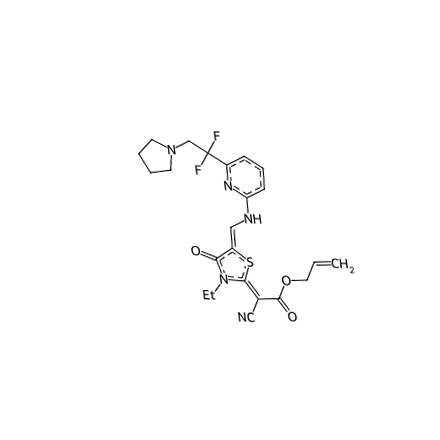 C=CCOC(=O)C(C#N)=c1sc(=CNc2cccc(C(F)(F)CN3CCCC3)n2)c(=O)n1CC